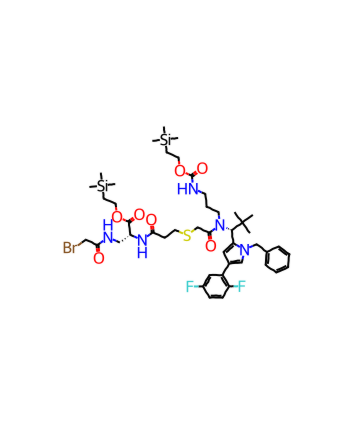 CC(C)(C)[C@H](c1cc(-c2cc(F)ccc2F)cn1Cc1ccccc1)N(CCCNC(=O)OCC[Si](C)(C)C)C(=O)CSCCC(=O)N[C@H](CNC(=O)CBr)C(=O)OCC[Si](C)(C)C